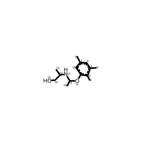 Cc1cc(C)c(C)c(OC(C)NC(C)CO)c1